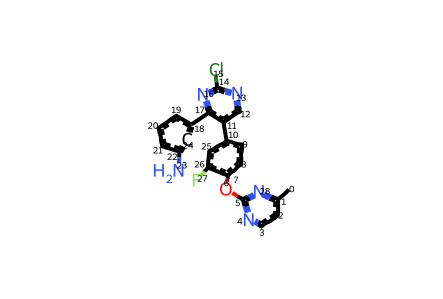 Cc1ccnc(Oc2ccc(-c3cnc(Cl)nc3-c3cccc(N)c3)cc2F)n1